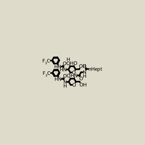 CCCCCCCC(=O)NCC(=O)N[C@H]1C(CO)OCC(NC(=O)Nc2cccc(C(F)(F)F)c2)[C@H]1O[C@@H]1OC(CO)[C@@H](O)[C@H](O)C1NC(=O)Nc1cccc(C(F)(F)F)c1